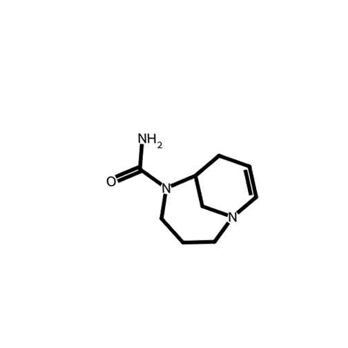 NC(=O)N1CCCN2C=CCC1C2